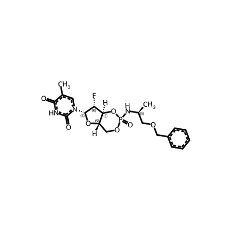 Cc1cn([C@H]2O[C@H]3COP(=O)(N[C@@H](C)COCc4ccccc4)O[C@@H]3[C@H]2F)c(=O)[nH]c1=O